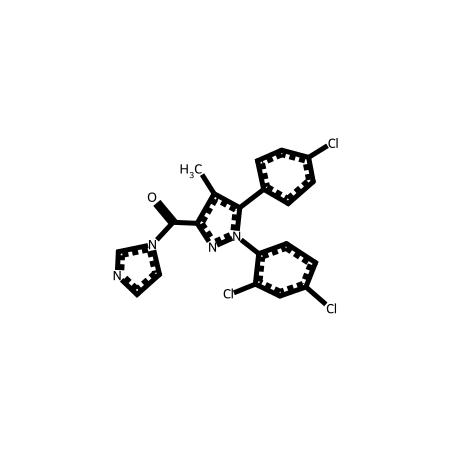 Cc1c(C(=O)n2ccnc2)nn(-c2ccc(Cl)cc2Cl)c1-c1ccc(Cl)cc1